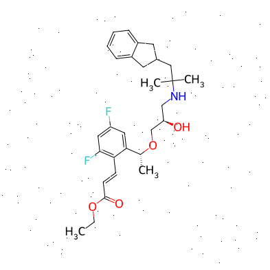 CCOC(=O)/C=C/c1c(F)cc(F)cc1[C@@H](C)OC[C@H](O)CNC(C)(C)CC1Cc2ccccc2C1